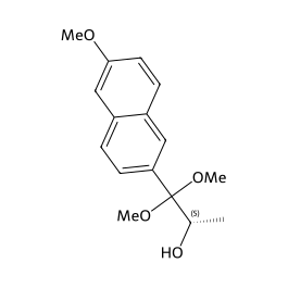 COc1ccc2cc(C(OC)(OC)[C@H](C)O)ccc2c1